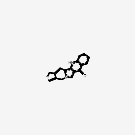 O=c1c2ccccc2[nH]c2c3n(cc12)CC1=COCC1=C3